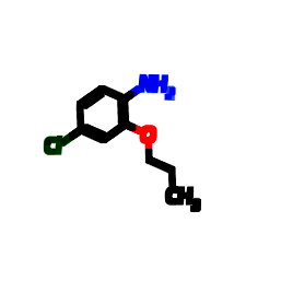 CCCOc1cc(Cl)ccc1N